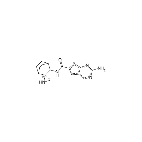 Nc1ncc2cc(C(=O)NC3C4CCC(CC4)[C@@]34CN4)sc2n1